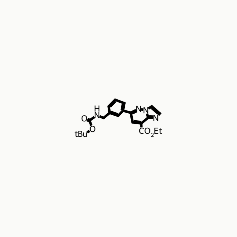 CCOC(=O)c1cc(-c2cccc(CNC(=O)OC(C)(C)C)c2)nn2ccnc12